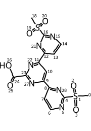 CS(=O)(=O)c1nccc(-c2cc(-c3ccnc(S(C)(=O)=O)n3)nc(C(=O)O)n2)n1